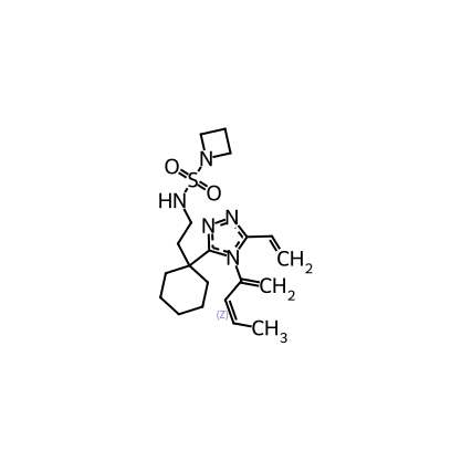 C=Cc1nnc(C2(CCNS(=O)(=O)N3CCC3)CCCCC2)n1C(=C)/C=C\C